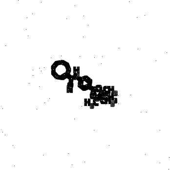 CC1(C)OB(c2ccc(NC(C#N)/C3=C/CCCCCCC3)cc2)OC1(C)C